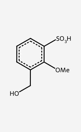 COc1c(CO)cccc1S(=O)(=O)O